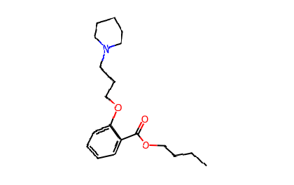 CCCCOC(=O)c1ccccc1OCCCN1CCCCC1